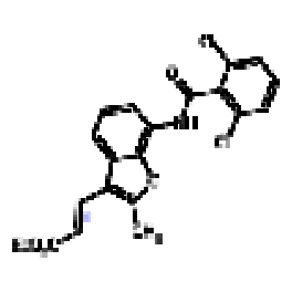 CCOC(=O)/C=C/c1c(C)oc2c(NC(=O)c3c(Cl)cccc3Cl)cccc12